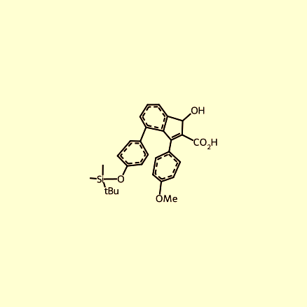 COc1ccc(C2=C(C(=O)O)C(O)c3cccc(-c4ccc(O[Si](C)(C)C(C)(C)C)cc4)c32)cc1